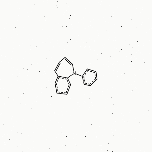 C1=Cc2ccccc2N(c2ccccc2)C=C1